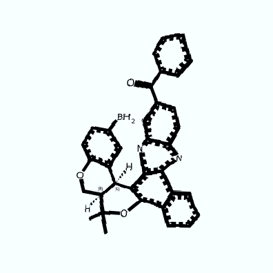 Bc1ccc2c(c1)[C@H]1c3c(c4ccccc4c4nc5ccc(C(=O)c6ccccc6)cc5nc34)OC(C)(C)[C@H]1CO2